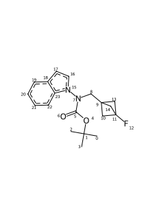 CC(C)(C)OC(=O)N(CC12CC(F)(C1)C2)n1ccc2ccccc21